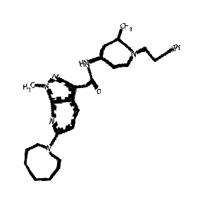 CC(C)CCN1CCC(NC(=O)c2nn(C)c3nc(N4CCCCCCC4)ccc23)CC1C